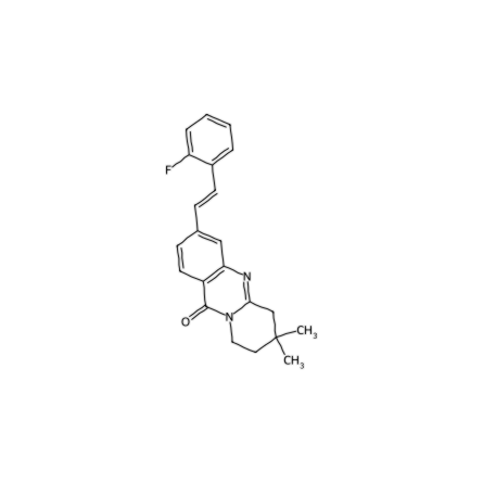 CC1(C)CCn2c(nc3cc(C=Cc4ccccc4F)ccc3c2=O)C1